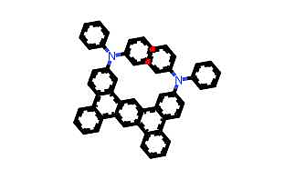 c1ccc(N(c2ccccc2)c2ccc3c4ccccc4c4cc5c6ccccc6c6ccc(N(c7ccccc7)c7ccccc7)cc6c5cc4c3c2)cc1